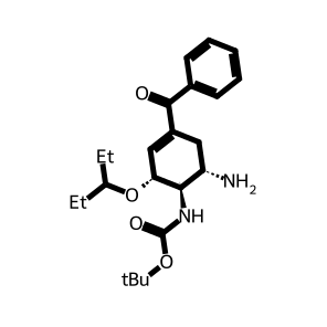 CCC(CC)O[C@@H]1C=C(C(=O)c2ccccc2)C[C@H](N)[C@H]1NC(=O)OC(C)(C)C